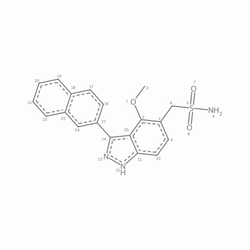 COc1c(CS(N)(=O)=O)ccc2[nH]nc(-c3ccc4ccccc4c3)c12